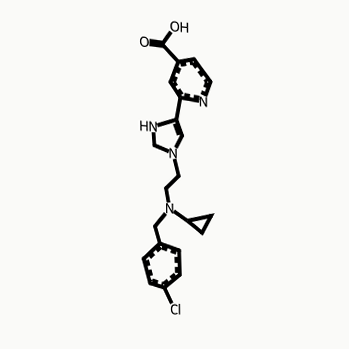 O=C(O)c1ccnc(C2=CN(CCN(Cc3ccc(Cl)cc3)C3CC3)CN2)c1